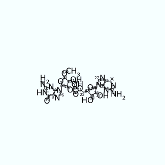 CO[C@H]1O[C@@H](n2cnc3c(=O)[nH]c(N)nc32)C(OP(=O)(O)OC[C@H]2O[C@@H](n3cnc4cnc(N)nc43)C(O)C2O)C1O